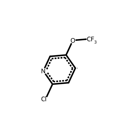 FC(F)(F)Oc1[c]cc(Cl)nc1